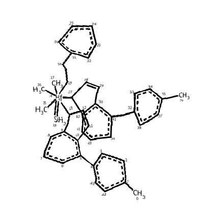 Cc1ccc(-c2cccc3c2C=C[CH]3[Hf]([CH3])([CH3])([CH3])(=[SiH2])([CH2]Cc2ccccc2)[CH]2C=Cc3c(-c4ccc(C)cc4)cccc32)cc1